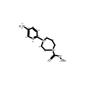 CC(C)(C)OC(=O)N1CCCN(c2ccc(N)cn2)CC1